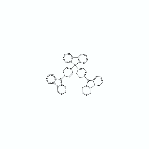 C1=CCC2C(=C1)N(C1=CC=C(C3(C4=CCC(n5c6ccccc6c6ccccc65)C=C4)c4ccccc4-c4ccccc43)CC1)c1ccccc12